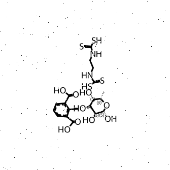 C[C@@H]1O[C@H](O)[C@@H](O)[C@H](O)[C@@H]1O.Cc1c(C(=O)O)cccc1C(=O)O.S=C(S)NCCNC(=S)S